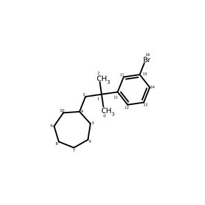 CC(C)(CC1CCCCCC1)c1cccc(Br)c1